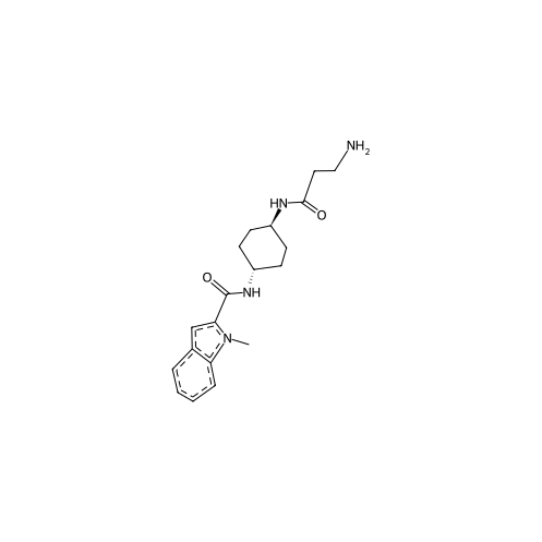 Cn1c(C(=O)N[C@H]2CC[C@H](NC(=O)CCN)CC2)cc2ccccc21